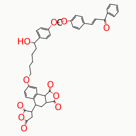 O=C1CC(C2CC3C(=O)OC(=O)C3c3cc(OCCCCCC(O)c4ccc(OCOc5ccc(/C=C/C(=O)c6ccccc6)cc5)cc4)ccc32)C(=O)O1